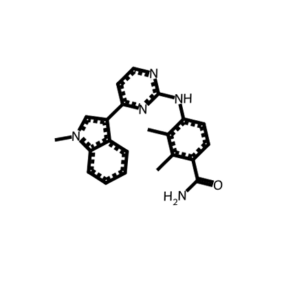 Cc1c(Nc2nccc(-c3cn(C)c4ccccc34)n2)ccc(C(N)=O)c1C